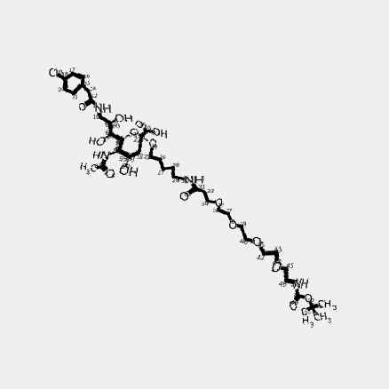 CC(=O)N[C@H]1[C@H]([C@H](O)[C@H](O)CNC(=O)Cc2ccc(Cl)cc2)O[C@@](OCCCCCNC(=O)CCOCCOCCOCCOCCNC(=O)OC(C)(C)C)(C(=O)O)C[C@@H]1O